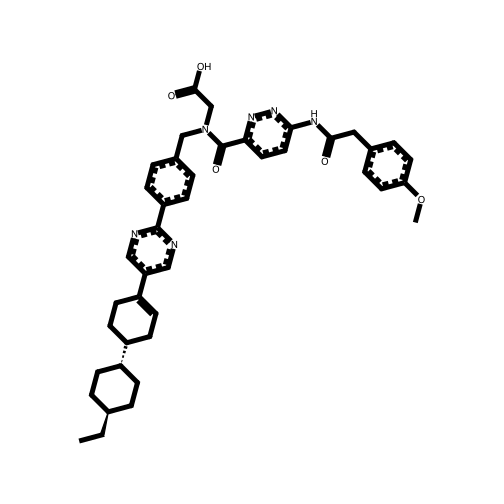 CC[C@H]1CC[C@H](C2CC=C(c3cnc(-c4ccc(CN(CC(=O)O)C(=O)c5ccc(NC(=O)Cc6ccc(OC)cc6)nn5)cc4)nc3)CC2)CC1